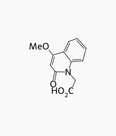 COc1cc(=O)n(CC(=O)O)c2ccccc12